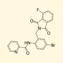 O=C(Nc1ccc(Br)cc1CN1C(=O)c2cccc(F)c2C1=O)c1ccccn1